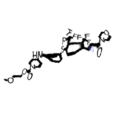 COCCOC(=O)N1CCC(Nc2cccc(Sc3ccc(/C=C/C(=O)N4CCOCC4)c(C(F)(F)F)c3C(F)(F)F)c2)CC1